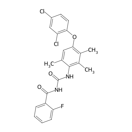 Cc1cc(Oc2ccc(Cl)cc2Cl)c(C)c(C)c1NC(=O)NC(=O)c1ccccc1F